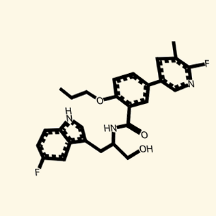 CCCOc1ccc(-c2cnc(F)c(C)c2)cc1C(=O)NC(CO)Cc1c[nH]c2ccc(F)cc12